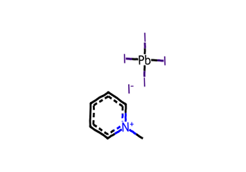 C[n+]1ccccc1.[I-].[I][Pb]([I])([I])[I]